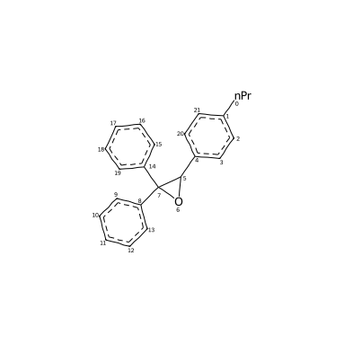 CCCc1ccc(C2OC2(c2ccccc2)c2ccccc2)cc1